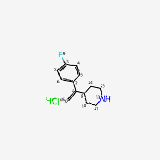 C=C(c1ccc(F)cc1)C1CCNCC1.Cl